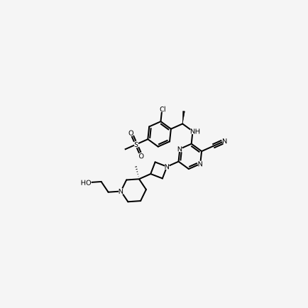 C[C@@H](Nc1nc(N2CC([C@@]3(C)CCCN(CCO)C3)C2)cnc1C#N)c1ccc(S(C)(=O)=O)cc1Cl